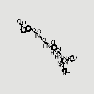 Cn1cc(-n2cnc3c(NCc4nc5cc(Cl)c(NCCOCCNC(=O)COc6ccc7c(c6)CCCN7C(=O)CCl)cc5[nH]4)nc(N4CCOCC4)nc32)cn1